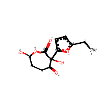 CSCc1ccc(C2(O)C(=O)CCC(O)OC2=O)o1